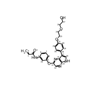 C=CC(=O)Nc1cccc(Oc2cnc3[nH]cc(-c4ccc(OCCOCCO)cc4)c3n2)c1